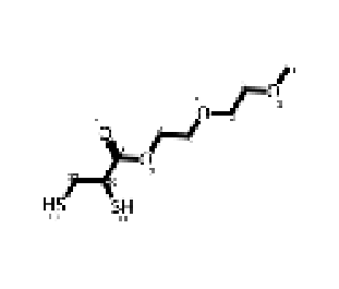 COCCOCCOC(=O)C(S)CS